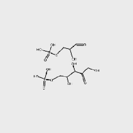 O=C(CO)C(O)C(O)COP(=O)(O)O.O=CC(O)COP(=O)(O)O